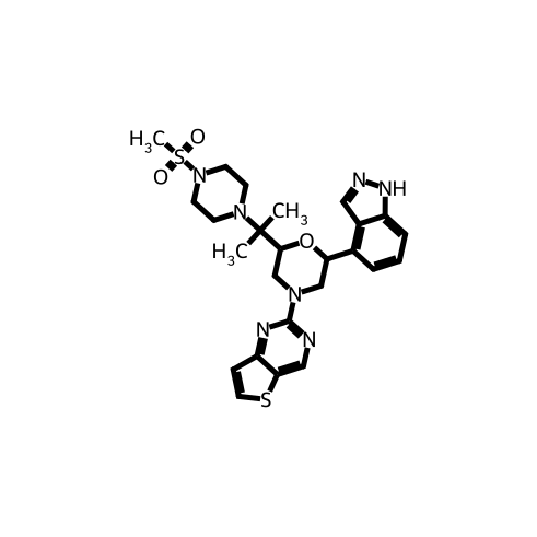 CC(C)(C1CN(c2ncc3sccc3n2)CC(c2cccc3[nH]ncc23)O1)N1CCN(S(C)(=O)=O)CC1